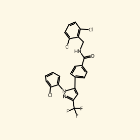 O=C(NCc1c(Cl)cccc1Cl)c1ccc(-c2cc(C(F)(F)F)nn2-c2ccccc2Cl)cc1